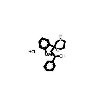 COc1ccccc1C1(CC(O)c2ccccc2)CNCCO1.Cl